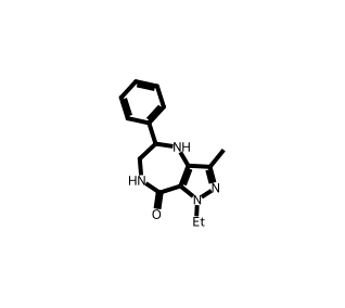 CCn1nc(C)c2c1C(=O)NCC(c1ccccc1)N2